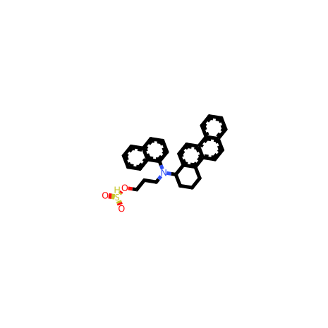 O=[SH](=O)OCCCN(c1cccc2ccccc12)C1CCCc2c1ccc1c2ccc2ccccc21